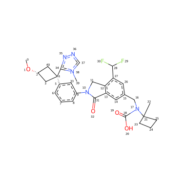 CO[C@H]1C[C@](c2cccc(N3Cc4c(cc(CN(C(=O)O)C5(C)CCC5)cc4C(F)F)C3=O)c2)(c2nncn2C)C1